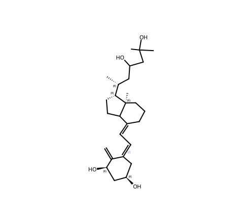 C=C1/C(=C\C=C2CCC[C@@]3(C)C2CC[C@@H]3[C@H](C)CC(O)CC(C)(C)O)C[C@@H](O)C[C@H]1O